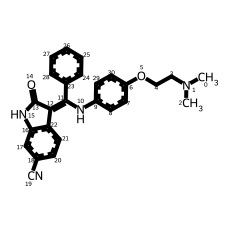 CN(C)CCOc1ccc(NC(=C2C(=O)Nc3cc(C#N)ccc32)c2ccccc2)cc1